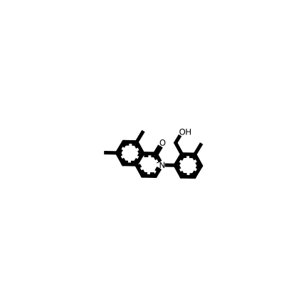 Cc1cc(C)c2c(=O)n(-c3cccc(C)c3CO)ccc2c1